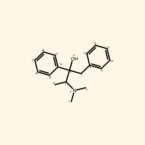 CC(N(C)C)C(O)(Cc1ccccc1)c1ccccc1